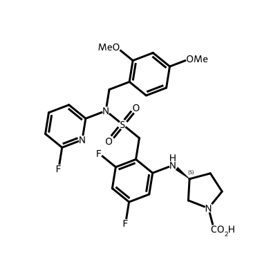 COc1ccc(CN(c2cccc(F)n2)S(=O)(=O)Cc2c(F)cc(F)cc2N[C@H]2CCN(C(=O)O)C2)c(OC)c1